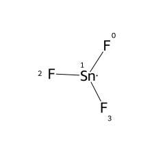 [F][Sn]([F])[F]